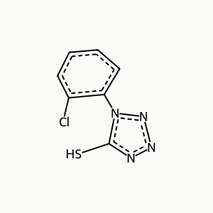 Sc1nnnn1-c1ccccc1Cl